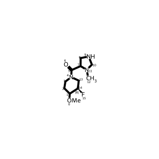 COC1CCN(C(=O)C2CNCN2C)C[C@H]1F